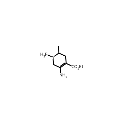 CCOC(=O)C1=C(N)CN(P)C(C)C1